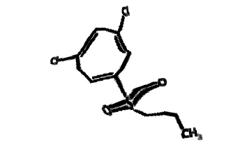 CCCS(=O)(=O)c1cc(Cl)cc(Cl)c1